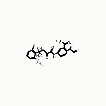 COc1cccc(Br)c1C(C)(C)CC(=O)C(=O)Nc1ccc2c(c1)C(C)=NOC2C=O